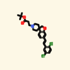 CC(C)(C)OC(=O)CCN1CCC2(CC1)COc1cc(/C=C/c3cc(Cl)ccc3Cl)ccc12